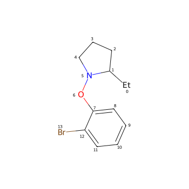 CCC1CCCN1Oc1ccccc1Br